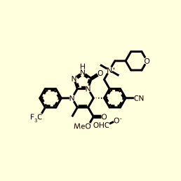 COC(=O)C1=C(C)N(c2cccc(C(F)(F)F)c2)c2n[nH]c(=O)n2[C@@H]1c1ccc(C#N)cc1C[N+](C)(C)CC1CCOCC1.O=C[O-]